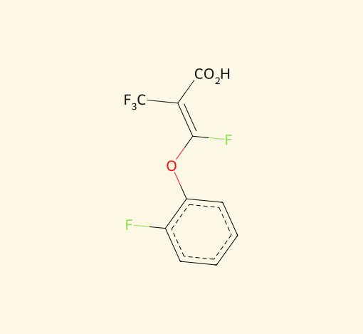 O=C(O)C(=C(F)Oc1ccccc1F)C(F)(F)F